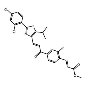 COC(=O)C=Cc1ccc(C(=O)C=Cc2nc(-c3ccc(Cl)cc3Cl)oc2C(C)C)cc1C